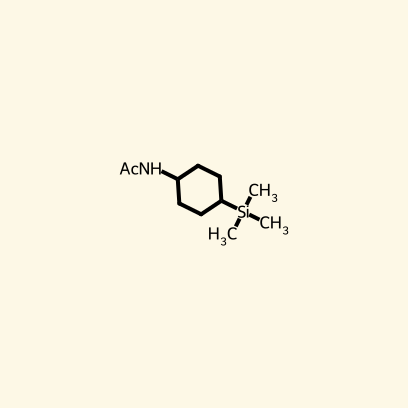 CC(=O)NC1CCC([Si](C)(C)C)CC1